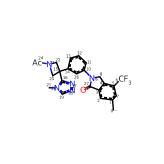 [CH2]c1cc2c(c(C(F)(F)F)c1)CN(c1cccc(C3(c4nncn4C)CN(C(C)=O)C3)c1)C2=O